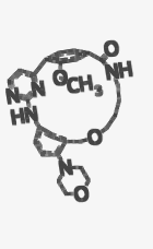 COc1cc2ccc1-c1ccnc(n1)Nc1ccc(N3CCOCC3)c(c1)COCCCCNC2=O